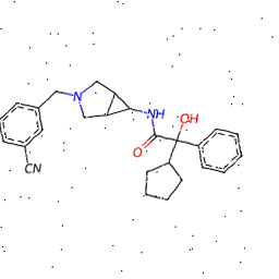 N#Cc1cccc(CN2CC3C(C2)C3NC(=O)C(O)(c2ccccc2)C2CCCC2)c1